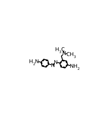 CN(C)Cc1cc(N)ccc1/N=N/c1ccc(N)cc1